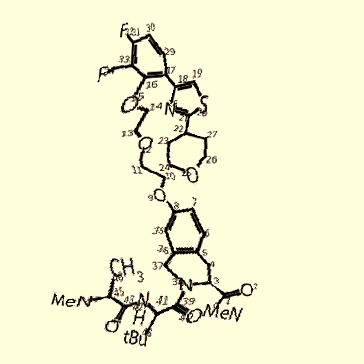 CNC(=O)[C@@H]1Cc2ccc(OCCOCCOc3c(-c4csc(C5CCOCC5)n4)ccc(F)c3F)cc2CN1C(=O)C(NC(=O)[C@H](C)NC)C(C)(C)C